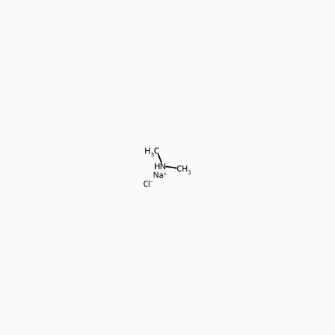 CNC.[Cl-].[Na+]